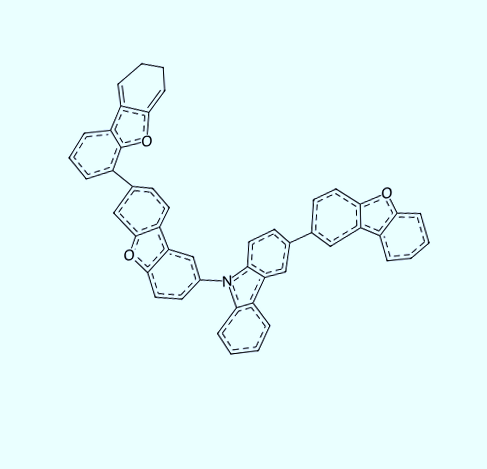 C1=c2oc3c(-c4ccc5c(c4)oc4ccc(-n6c7ccccc7c7cc(-c8ccc9oc%10ccccc%10c9c8)ccc76)cc45)cccc3c2=CCC1